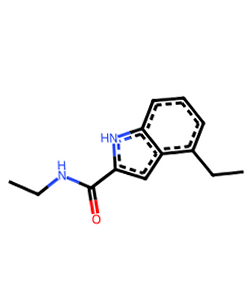 CCNC(=O)c1cc2c(CC)cccc2[nH]1